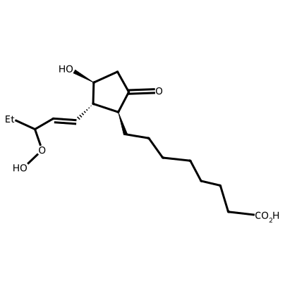 CCC(C=C[C@H]1[C@H](CCCCCCCC(=O)O)C(=O)C[C@@H]1O)OO